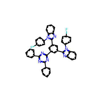 Fc1ccc(-n2c(-c3cc(-c4nc(-c5ccccc5)nc(-c5ccccc5)n4)cc(-c4nc5ccccc5n4-c4ccc(F)cc4)c3)nc3ccccc32)cc1